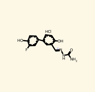 Cl.NC(=O)N/N=C/c1cc(-c2ccc(O)c(F)c2)ccc1O